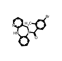 Cc1cc(Br)ccc1C(=O)N1Cc2cccnc2Nc2ccccc21